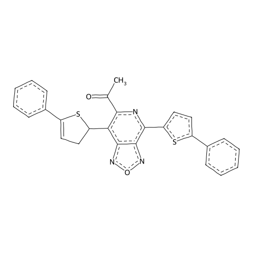 CC(=O)c1nc(-c2ccc(-c3ccccc3)s2)c2nonc2c1C1CC=C(c2ccccc2)S1